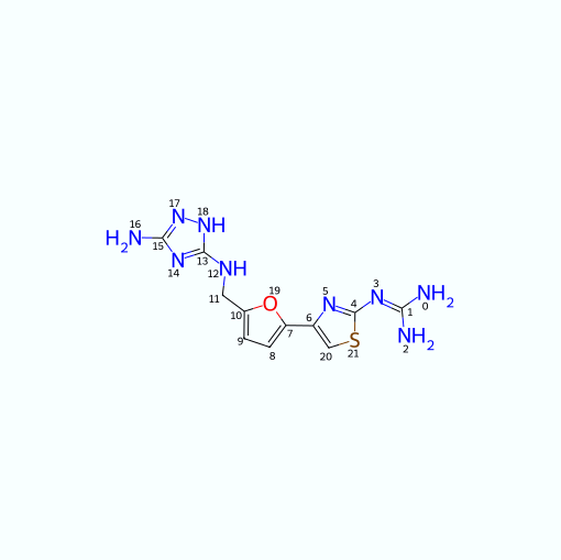 NC(N)=Nc1nc(-c2ccc(CNc3nc(N)n[nH]3)o2)cs1